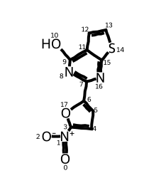 O=[N+]([O-])c1ccc(-c2nc(O)c3ccsc3n2)o1